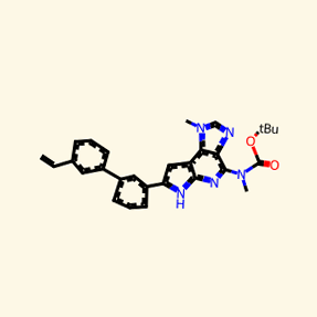 C=Cc1cccc(-c2cccc(-c3cc4c(nc(N(C)C(=O)OC(C)(C)C)c5ncn(C)c54)[nH]3)c2)c1